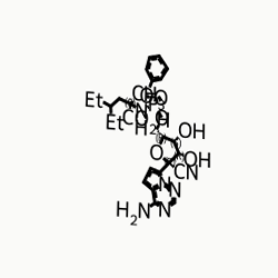 CCC(CC)C[C@](C)(NP(=O)(OC[C@H]1O[C@@](C#N)(c2ccc3c(N)ncnn23)[C@H](O)[C@@H]1O)Oc1ccccc1)C(=O)O